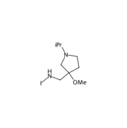 COC1(CNI)CCN(C(C)C)C1